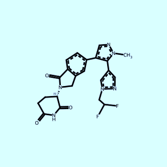 Cn1ncc(-c2ccc3c(c2)CN([C@H]2CCC(=O)NC2=O)C3=O)c1-c1cnn(CC(F)F)c1